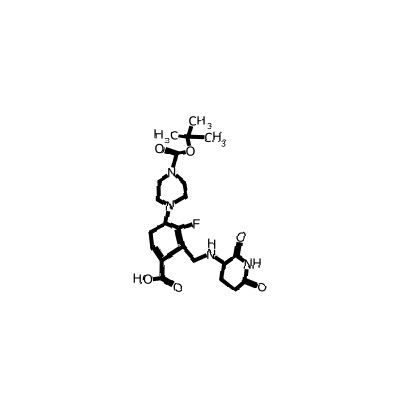 CC(C)(C)OC(=O)N1CCN(C2CC=C(C(=O)O)C(CNC3CCC(=O)NC3=O)=C2F)CC1